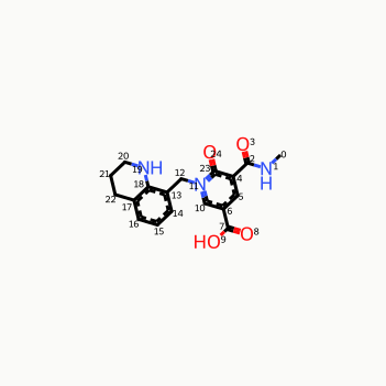 CNC(=O)c1cc(C(=O)O)cn(Cc2cccc3c2NCCC3)c1=O